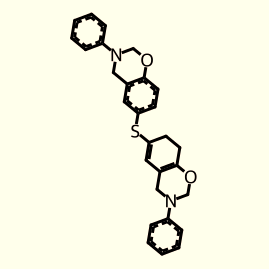 C1=C(Sc2ccc3c(c2)CN(c2ccccc2)CO3)CCC2=C1CN(c1ccccc1)CO2